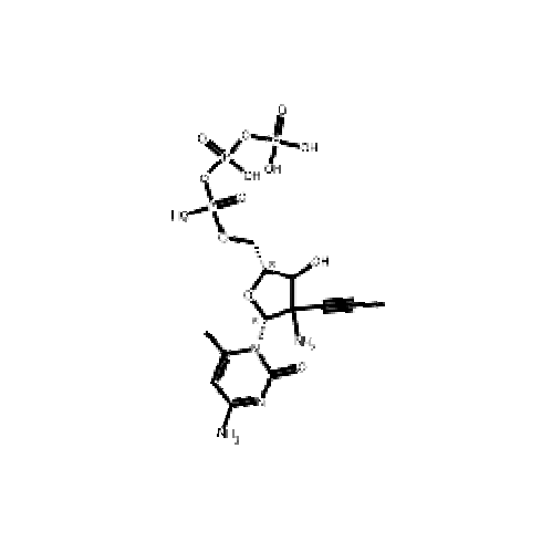 CC#CC1(N)C(O)[C@@H](COP(=O)(O)OP(=O)(O)OP(=O)(O)O)O[C@H]1n1c(C)cc(N)nc1=O